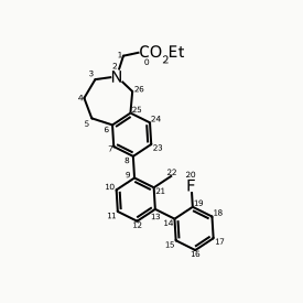 CCOC(=O)CN1CCCc2cc(-c3cccc(-c4ccccc4F)c3C)ccc2C1